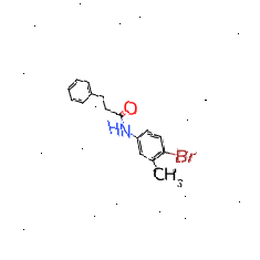 Cc1cc(NC(=O)CCc2ccccc2)ccc1Br